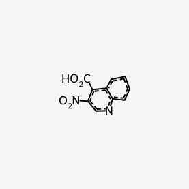 O=C(O)c1c([N+](=O)[O-])cnc2ccccc12